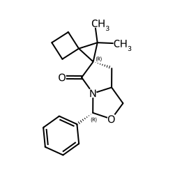 CC1(C)C2(CCC2)[C@@]12CC1CO[C@H](c3ccccc3)N1C2=O